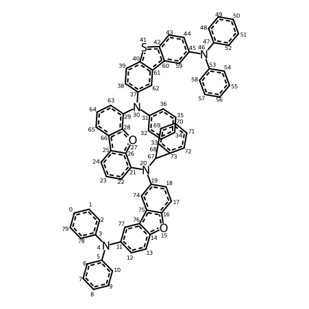 c1ccc(N(c2ccccc2)c2ccc3oc4ccc(N(c5cccc6c5oc5c(N(c7ccccc7)c7ccc8sc9ccc(N(c%10ccccc%10)c%10ccccc%10)cc9c8c7)cccc56)C5c6ccccc65)cc4c3c2)cc1